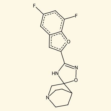 Fc1cc(F)c2oc(C3=NOC4(CN5CCC4CC5)N3)cc2c1